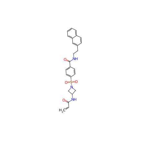 C=CC(=O)NC1CN(S(=O)(=O)c2ccc(C(=O)NCCc3ccc4ccccc4c3)cc2)C1